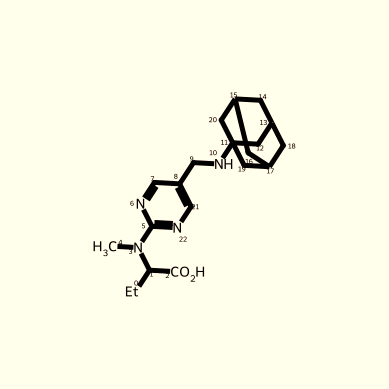 CCC(C(=O)O)N(C)c1ncc(CNC23CC4CC(CC(C4)C2)C3)cn1